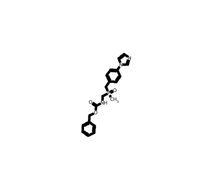 CP(=O)(CNC(=O)OCc1ccccc1)Cc1ccc(-n2ccnc2)cc1